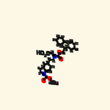 CC(C)(C)OC(=O)n1ccc2cc(CCN(CC(=O)O)C(=O)OCC3c4ccccc4-c4ccccc43)ccc21